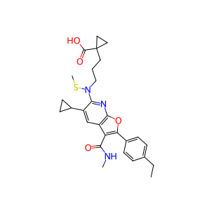 CCc1ccc(-c2oc3nc(N(CCCC4(C(=O)O)CC4)SC)c(C4CC4)cc3c2C(=O)NC)cc1